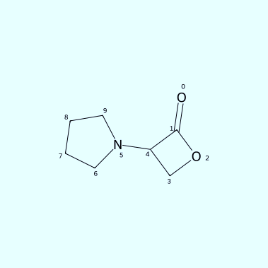 O=C1OCC1N1CCCC1